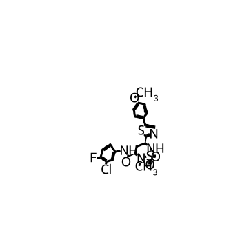 COc1ccc(-c2cnc([C@@H]3C[C@H](C(=O)Nc4ccc(F)c(Cl)c4)N(C)S(=O)(=O)N3)s2)cc1